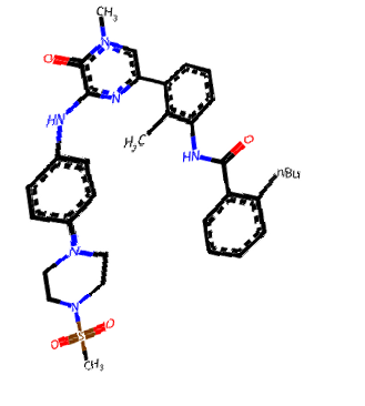 CCCCc1ccccc1C(=O)Nc1cccc(-c2cn(C)c(=O)c(Nc3ccc(N4CCN(S(C)(=O)=O)CC4)cc3)n2)c1C